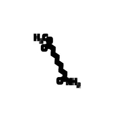 COC(=O)CCCCCCCC(N)=O